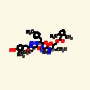 Cc1ccc(C[C@H](NC(=O)[C@H](CC(=O)O)NC(=O)Cc2ccc(O)c([N+](=O)[O-])c2)C(=O)N[C@H](C(=O)N[C@@H](CC(=O)O)C(=O)COC(=O)c2c(C)cccc2C)C(C)C)cc1